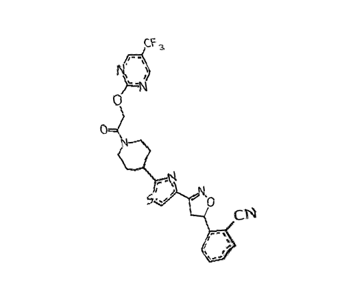 N#Cc1ccccc1C1CC(c2csc(C3CCN(C(=O)COc4ncc(C(F)(F)F)cn4)CC3)n2)=NO1